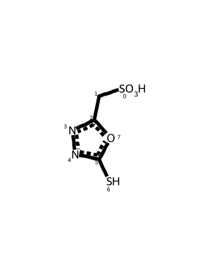 O=S(=O)(O)Cc1nnc(S)o1